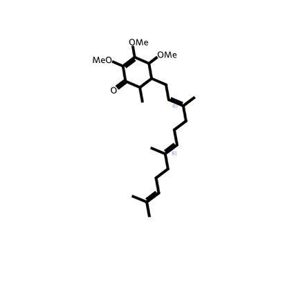 COC1=C(OC)C(OC)C(C/C=C(\C)CC/C=C(\C)CCC=C(C)C)C(C)C1=O